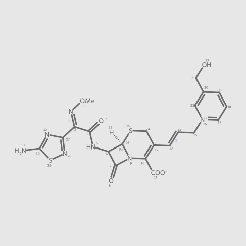 CO/N=C(\C(=O)NC1C(=O)N2C(C(=O)[O-])=C(/C=C/C[n+]3cccc(CO)c3)CS[C@H]12)c1nsc(N)n1